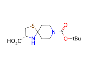 CC(C)(C)OC(=O)N1CCC2(CC1)N[C@H](C(=O)O)CS2